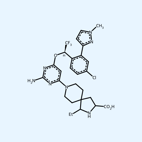 CCC1NC(C(=O)O)CC12CCN(c1cc(O[C@H](c3ccc(Cl)cc3-c3ccn(C)n3)C(F)(F)F)nc(N)n1)CC2